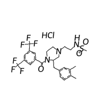 Cc1ccc(CC2CN(CCNS(C)(=O)=O)CCN2C(=O)c2cc(C(F)(F)F)cc(C(F)(F)F)c2)cc1C.Cl